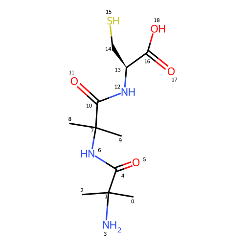 CC(C)(N)C(=O)NC(C)(C)C(=O)N[C@@H](CS)C(=O)O